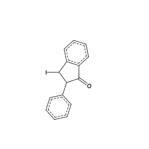 O=C1c2ccccc2C(I)C1c1ccccc1